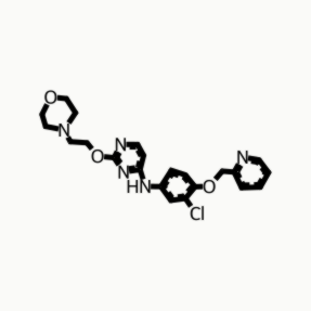 Clc1cc(Nc2ccnc(OCCN3CCOCC3)n2)ccc1OCc1ccccn1